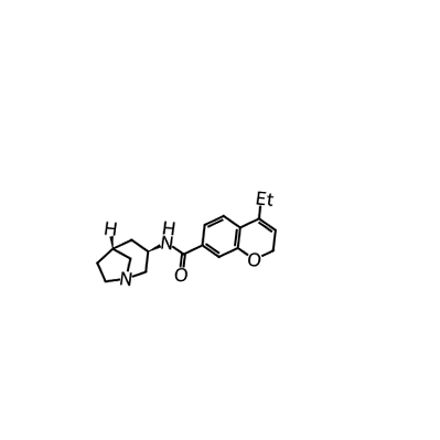 CCC1=CCOc2cc(C(=O)N[C@@H]3C[C@H]4CCN(C4)C3)ccc21